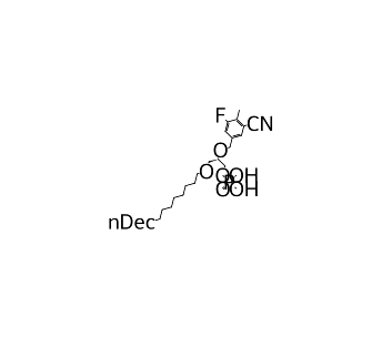 CCCCCCCCCCCCCCCCCCOC[C@H](COP(=O)(O)O)OCc1cc(F)c(C)c(C#N)c1